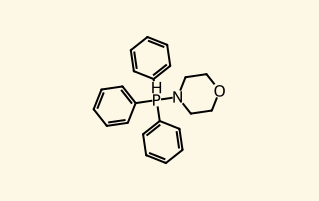 c1ccc([PH](c2ccccc2)(c2ccccc2)N2CCOCC2)cc1